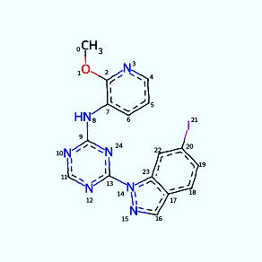 COc1ncccc1Nc1ncnc(-n2ncc3ccc(I)cc32)n1